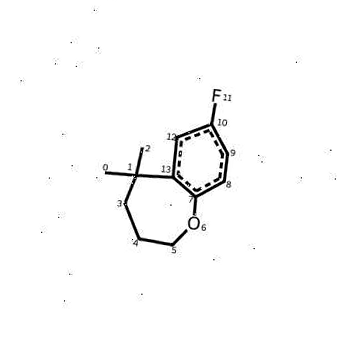 CC1(C)CCCOc2ccc(F)cc21